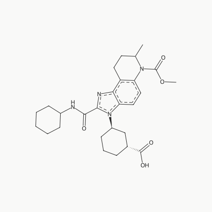 COC(=O)N1c2ccc3c(nc(C(=O)NC4CCCCC4)n3[C@@H]3CCC[C@@H](C(=O)O)C3)c2CCC1C